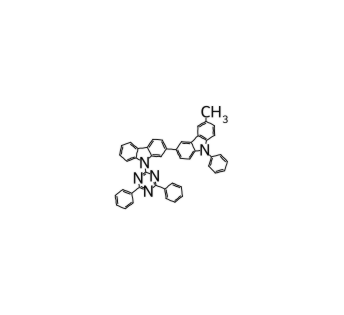 Cc1ccc2c(c1)c1cc(-c3ccc4c5ccccc5n(-c5nc(-c6ccccc6)nc(-c6ccccc6)n5)c4c3)ccc1n2-c1ccccc1